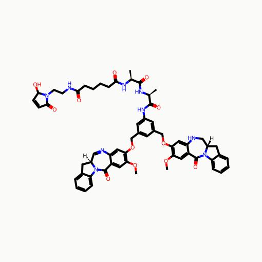 COc1cc2c(cc1OCc1cc(COc3cc4c(cc3OC)C(=O)N3c5ccccc5C[C@H]3CN4)cc(NC(=O)[C@H](C)NC(=O)[C@H](C)NC(=O)CCCCC(=O)NCCN3C(=O)C=CC3O)c1)N=C[C@@H]1Cc3ccccc3N1C2=O